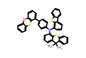 CC1(C)c2ccccc2Sc2c(N(c3ccc(-c4cccc5c4Sc4ccccc4O5)cc3)c3cccc4c3sc3ccccc34)cccc21